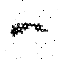 COc1ccc(CCOc2ccc(N3C(=O)C4C(C3=O)[C@@H]3C=CC4[C@H]4CC34)cc2)cc1